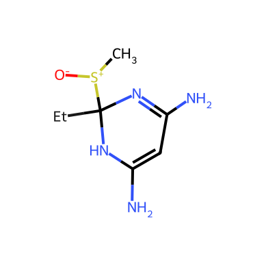 CCC1([S+](C)[O-])N=C(N)C=C(N)N1